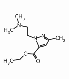 CCOC(=O)c1cc(C)nn1CCN(C)C